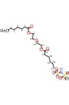 COCCCCCC(=O)OCCOCCOC(=O)CCCCCOS(=O)(=O)NS(C)(=O)=O